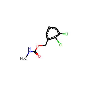 CNC(=O)OCc1cccc(Cl)c1Cl